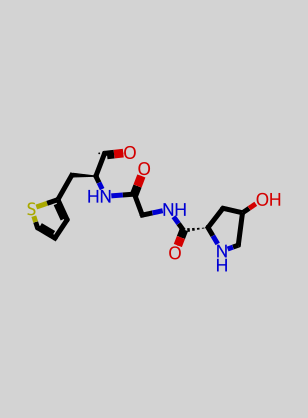 O=[C][C@H](Cc1cccs1)NC(=O)CNC(=O)[C@@H]1CC(O)CN1